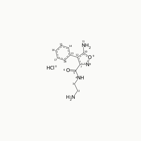 Cl.NCCNC(=O)c1noc(N)c1-c1ccccc1